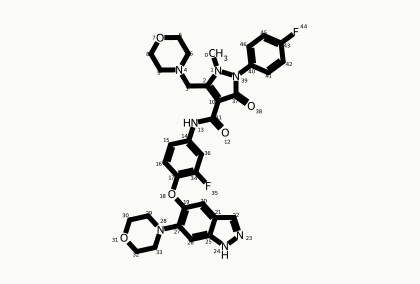 Cn1c(CN2CCOCC2)c(C(=O)Nc2ccc(Oc3cc4cn[nH]c4cc3N3CCOCC3)c(F)c2)c(=O)n1-c1ccc(F)cc1